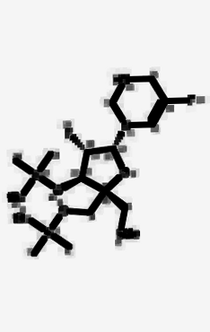 CSC[C@]1(CO[Si](C)(C)C(C)(C)C)O[C@@H](N2C=C(F)CNC2)[C@@H](F)[C@@H]1O[Si](C)(C)C(C)(C)C